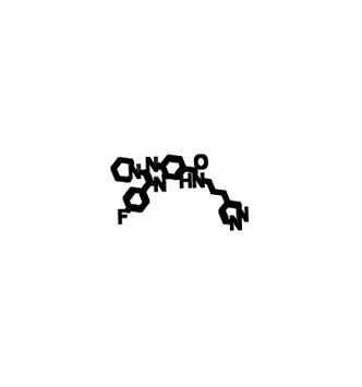 O=C(NCCCc1ccnnc1)c1ccc2nc(N3CCCCC3)c(-c3ccc(F)cc3)nc2c1